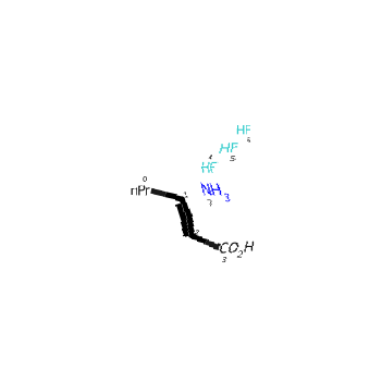 CCC/C=C/C(=O)O.F.F.F.N